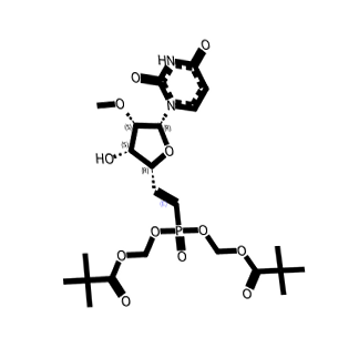 CO[C@H]1[C@@H](O)[C@@H](/C=C/P(=O)(OCOC(=O)C(C)(C)C)OCOC(=O)C(C)(C)C)O[C@H]1n1ccc(=O)[nH]c1=O